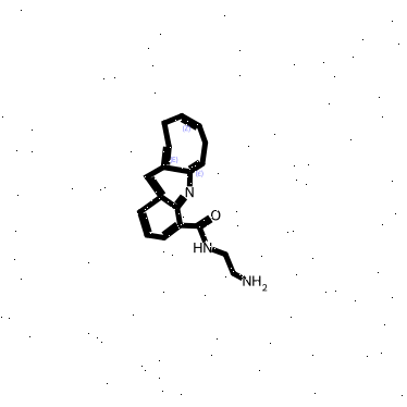 NCCNC(=O)c1cccc2cc3/c(nc12)=C\C/C=C\C/C=3